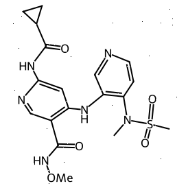 CONC(=O)c1cnc(NC(=O)C2CC2)cc1Nc1cnccc1N(C)S(C)(=O)=O